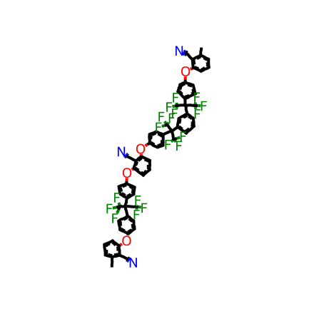 Cc1cccc(Oc2ccc(C(c3ccc(Oc4cccc(Oc5ccc(C(c6cccc(C(c7ccc(Oc8cccc(C)c8C#N)cc7)(C(F)(F)F)C(F)(F)F)c6)(C(F)(F)F)C(F)(F)F)cc5)c4C#N)cc3)(C(F)(F)F)C(F)(F)F)cc2)c1C#N